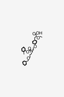 CCOC(Cc1ccc(OCCN(CCCOCc2ccccc2)C(=O)Oc2ccccc2C)cc1)C(=O)O